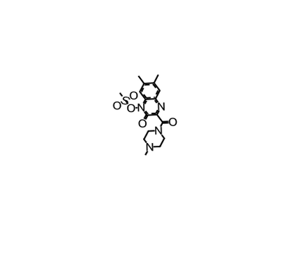 Cc1cc2nc(C(=O)N3CCN(C)CC3)c(=O)n(OS(C)(=O)=O)c2cc1C